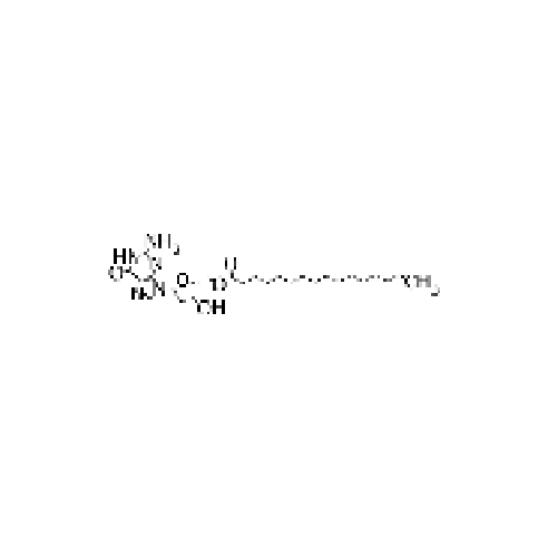 CCCCCCCCCCCCCCCC(=O)OC[C@H]1O[C@@H](n2cnc3c(=O)[nH]c(N)nc32)C[C@@H]1O